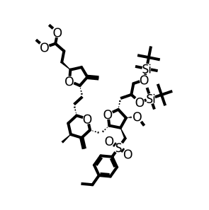 C=C1C[C@H](CCC(OC)OC)O[C@H]1CC[C@H]1C[C@H](C)C(=C)[C@@H](C[C@@H]2O[C@H](CC(CO[Si](C)(C)C(C)(C)C)O[Si](C)(C)C(C)(C)C)[C@H](OC)[C@H]2CS(=O)(=O)c2ccc(CC)cc2)O1